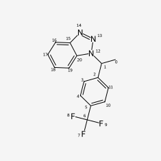 CC(c1ccc(C(F)(F)F)cc1)n1nnc2ccccc21